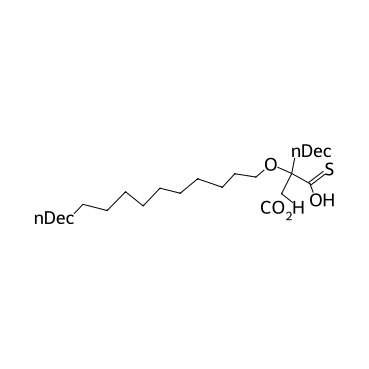 CCCCCCCCCCCCCCCCCCCCOC(CCCCCCCCCC)(CC(=O)O)C(O)=S